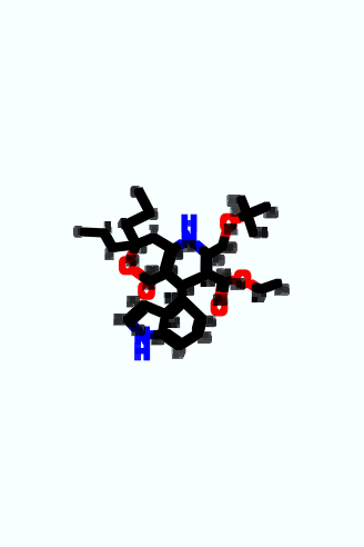 CCCC1(CCC)CC2=C(C(=O)O1)C(c1cccc3[nH]ccc13)C(C(=O)OCC)=C(COC(C)(C)C)N2